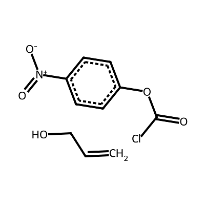 C=CCO.O=C(Cl)Oc1ccc([N+](=O)[O-])cc1